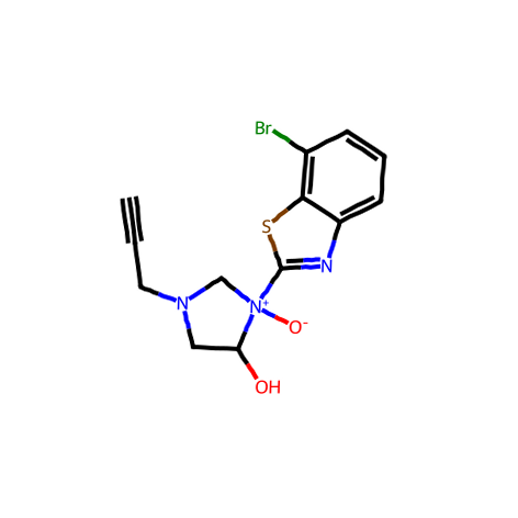 C#CCN1CC(O)[N+]([O-])(c2nc3cccc(Br)c3s2)C1